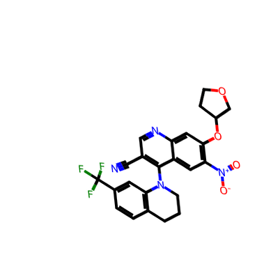 N#Cc1cnc2cc(OC3CCOC3)c([N+](=O)[O-])cc2c1N1CCCc2ccc(C(F)(F)F)cc21